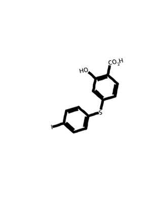 O=C(O)c1ccc(Sc2ccc(I)cc2)cc1O